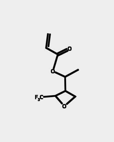 C=CC(=O)OC(C)C1COC1C(F)(F)F